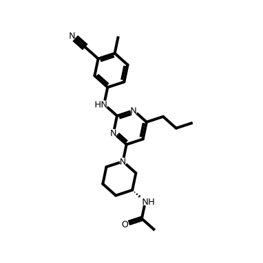 CCCc1cc(N2CCC[C@@H](NC(C)=O)C2)nc(Nc2ccc(C)c(C#N)c2)n1